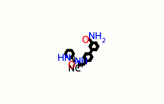 N#C[C@H](Cc1ccc(-c2cccc(C(N)=O)c2)cc1)NC(=O)[C@@H]1CCCCN1